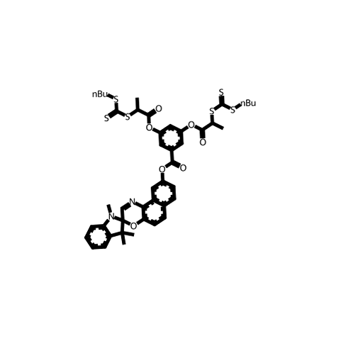 CCCCSC(=S)SC(C)C(=O)Oc1cc(OC(=O)C(C)SC(=S)SCCCC)cc(C(=O)Oc2ccc3ccc4c(c3c2)N=CC2(O4)N(C)c3ccccc3C2(C)C)c1